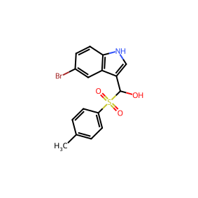 Cc1ccc(S(=O)(=O)C(O)c2c[nH]c3ccc(Br)cc23)cc1